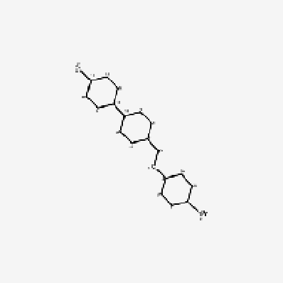 CCCC1CCC(OCC2CCC(C3CCC(CC)CC3)CC2)CC1